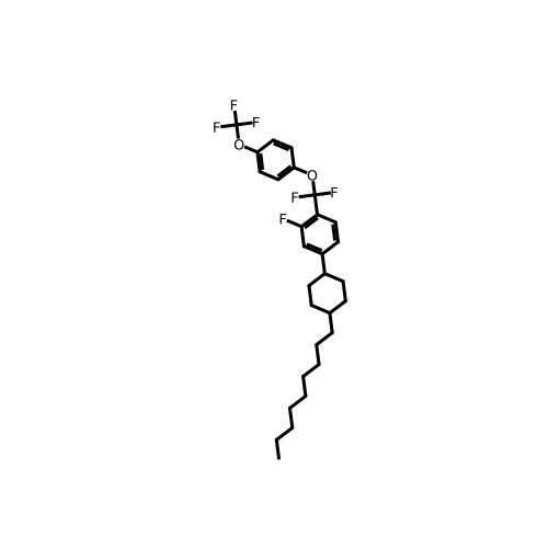 CCCCCCCCCC1CCC(c2ccc(C(F)(F)Oc3ccc(OC(F)(F)F)cc3)c(F)c2)CC1